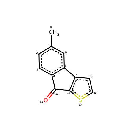 Cc1ccc2c(c1)-c1ccsc1C2=O